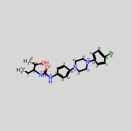 CCC(NC(=O)Nc1ccc(N2CCN(c3ccc(Br)cc3)CC2)cc1)C(C)O